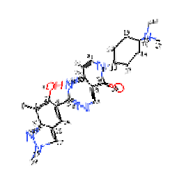 Cc1c(O)c(-c2ncc3c(=O)n([C@H]4CC[C@H](N(C)C)CC4)ccc3n2)cc2cn(C)nc12